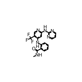 CNC(=O)c1ccccc1Nc1cc(Nc2ncccn2)ncc1C(F)(F)F